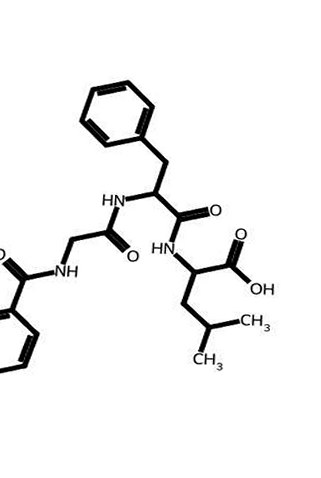 CC(C)CC(NC(=O)C(Cc1ccccc1)NC(=O)CNC(=O)c1ccccc1)C(=O)O